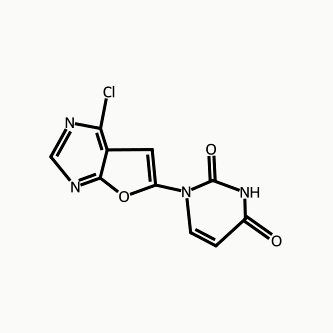 O=c1ccn(-c2cc3c(Cl)ncnc3o2)c(=O)[nH]1